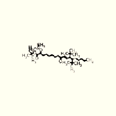 CCCCC[C@@H]([C@H](C=CC(=O)CCCCCCC(O[SiH](C)C)C(=O)OC(C)(C)C)C(C)(C)C)C(C)(C)C